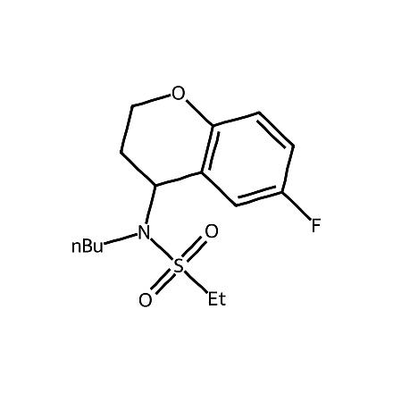 CCCCN(C1CCOc2ccc(F)cc21)S(=O)(=O)CC